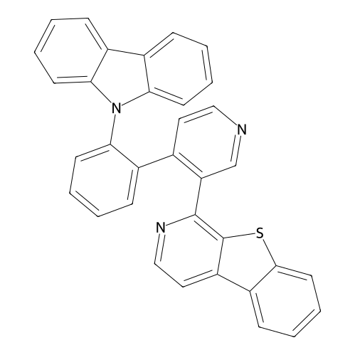 c1ccc(-n2c3ccccc3c3ccccc32)c(-c2ccncc2-c2nccc3c2sc2ccccc23)c1